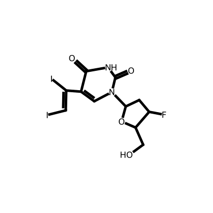 O=c1[nH]c(=O)n(C2CC(F)C(CO)O2)cc1/C(I)=C/I